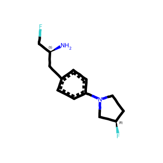 N[C@H](CF)Cc1ccc(N2CC[C@@H](F)C2)cc1